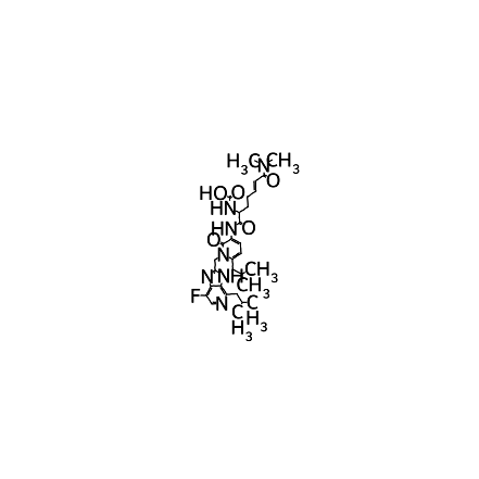 CC(C)Cc1ncc(F)c2nc(Cn3c(CC(C)C)ccc(NC(=O)C(CCC=CC(=O)N(C)C)NC(=O)O)c3=O)[nH]c12